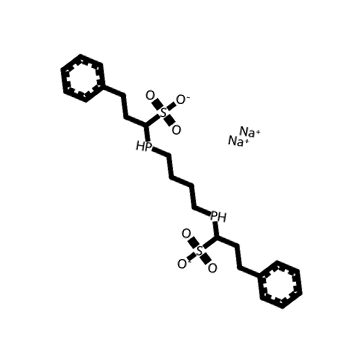 O=S(=O)([O-])C(CCc1ccccc1)PCCCCPC(CCc1ccccc1)S(=O)(=O)[O-].[Na+].[Na+]